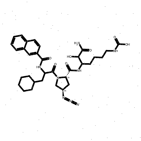 [N-]=[N+]=N[C@@H]1C[C@@H](C(=O)NC(CCCCNC(=O)O)C(O)C(N)=O)N(C(=O)C(CC2CCCCC2)NC(=O)c2ccc3ccccc3c2)C1